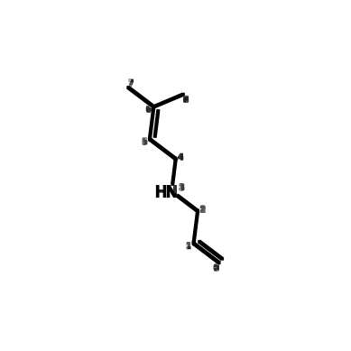 C=CCNCC=C(C)C